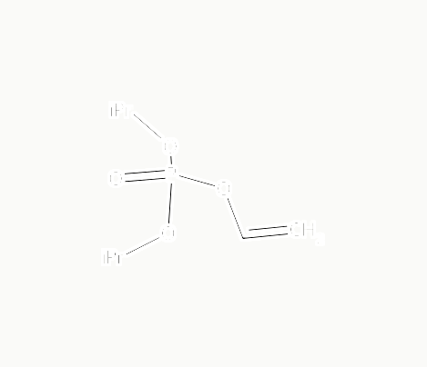 C=COP(=O)(OC(C)C)OC(C)C